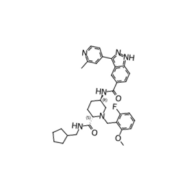 COc1cccc(F)c1CN1C[C@H](NC(=O)c2ccc3[nH]nc(-c4ccnc(C)c4)c3c2)CC[C@H]1C(=O)NCC1CCCC1